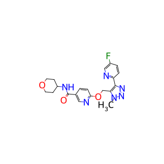 Cn1nnc(-c2ccc(F)cn2)c1COc1ccc(C(=O)NC2CCOCC2)cn1